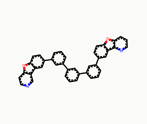 c1cc(-c2cccc(-c3ccc4oc5ccncc5c4c3)c2)cc(-c2cccc(-c3ccc4oc5cccnc5c4c3)c2)c1